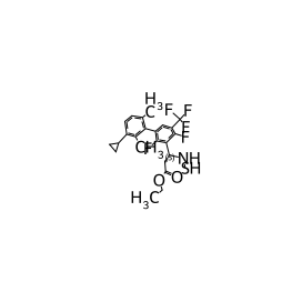 CCOC(=O)C[C@H](NS)c1c(F)c(-c2c(C)ccc(C3CC3)c2C)cc(C(F)(F)F)c1F